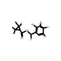 CC1(C)C(C(=O)OC(F)c2cc(F)c(F)c(F)c2F)C1(C)C